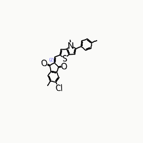 Cc1ccc(-c2cc3sc(/C=C4/C(=O)c5cc(C)c(Cl)cc5C4=O)cc3n2C)cc1